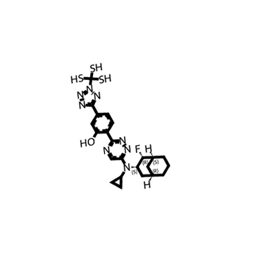 Oc1cc(-c2nnn(C(S)(S)S)n2)ccc1-c1ncc(N(C2CC2)[C@H]2C[C@@H]3CCC[C@@H](C3)[C@H]2F)nn1